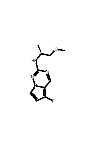 COC[C@H](C)Nc1ncc2c(Br)ccn2n1